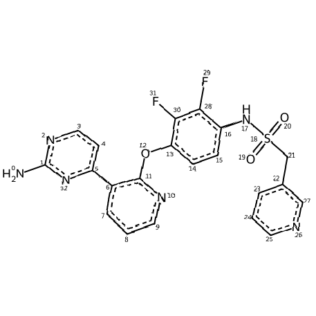 Nc1nccc(-c2cccnc2Oc2ccc(NS(=O)(=O)Cc3cccnc3)c(F)c2F)n1